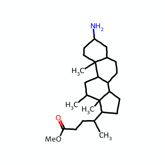 COC(=O)CCC(C)C1CCC2C3CCC4CC(N)CCC4(C)C3CC(C)C12C